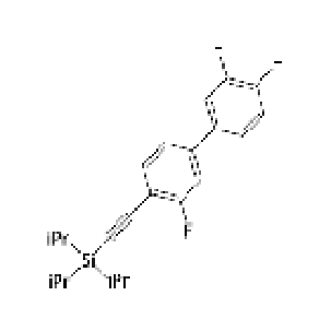 CC(C)[Si](C#Cc1ccc(-c2ccc(F)c(F)c2)cc1F)(C(C)C)C(C)C